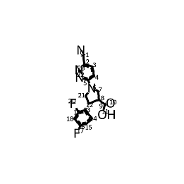 N#Cc1ccc(N2CC(C(=O)O)[C@H](c3ccc(F)cc3F)C2)nn1